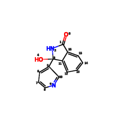 O=C1NC(O)(c2cccnc2)c2ccccc21